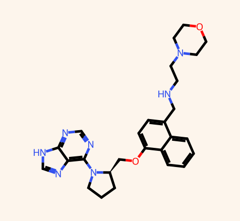 c1ccc2c(OC[C@H]3CCCN3c3ncnc4[nH]cnc34)ccc(CNCCN3CCOCC3)c2c1